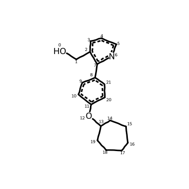 OCc1cccnc1-c1ccc(OC2CCCCCC2)cc1